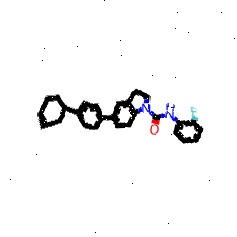 O=C(Nc1ccccc1F)N1CCc2cc(-c3ccc(C4CCCCC4)cc3)ccc21